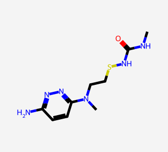 CNC(=O)NSCCN(C)c1ccc(N)nn1